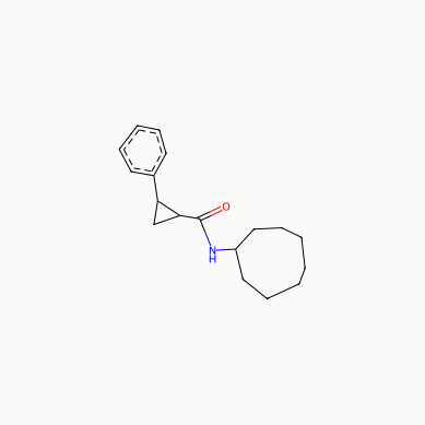 O=C(NC1CCCCCCC1)C1CC1c1ccccc1